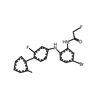 Cc1ccccc1-c1ccc(Nc2ccc(Br)cc2NC(=O)CF)cc1F